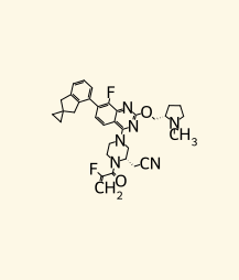 C=C(F)C(=O)N1CCN(c2nc(OC[C@@H]3CCCN3C)nc3c(F)c(-c4cccc5c4CC4(CC4)C5)ccc23)C[C@@H]1CC#N